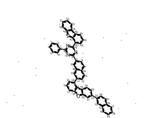 c1ccc(-c2nc(-c3ccc4ccc(-c5cccc6oc7cc(-c8ccc9ccccc9c8)ccc7c56)cc4c3)nc(-c3cccc4c3sc3ccccc34)n2)cc1